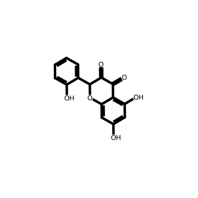 O=C1C(=O)C(c2ccccc2O)Oc2cc(O)cc(O)c21